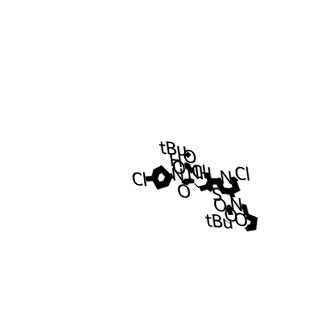 CC(C)(C)OC(=O)N[C@H](Cc1sc2c(N(Cc3ccco3)C(=O)OC(C)(C)C)cc(Cl)nc2c1Cl)C(=O)Nc1ccc(Cl)cc1